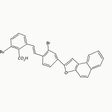 CCCCc1cccc(C=Cc2ccc(-c3cc4c(ccc5ccccc54)o3)cc2Br)c1C(=O)O